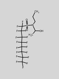 CCCN(C(C)O)S(=O)(=O)C(F)(F)C(F)(F)C(F)(F)C(F)(F)C(F)(F)C(F)(F)C(F)(F)C(F)(F)F